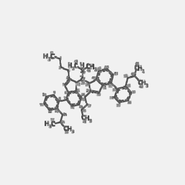 CCCCC1=Cc2c(-c3ccccc3CC(C)C)cccc2[CH]1[Zr]([CH]1C(CCCC)=Cc2c(-c3ccccc3CC(C)C)cccc21)[SiH](C)C